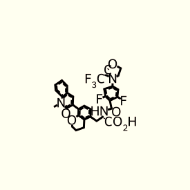 Cn1c(=O)c(-c2ccc(C[C@H](NC(=O)c3c(F)cc(N4CCOC[C@@H]4C(F)(F)F)cc3F)C(=O)O)c3c2OCCC3)cc2ccccc21